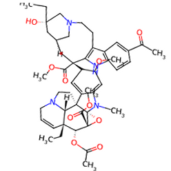 CC[C@]1(O)C[C@H]2CN(CCc3c([nH]c4ccc(C(C)=O)cc34)[C@@](C(=O)OC)(C3C=C4C(=CC3OC)N(C)[C@@]35O[C@]3(C(=O)OC)[C@H](OC(C)=O)[C@]3(CC)C=CCN6CC[C@]45[C@@H]63)C2)C1